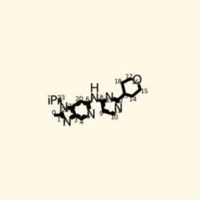 Cc1nc2cnc(Nc3ccnc(C4CCOCC4)n3)cc2n1C(C)C